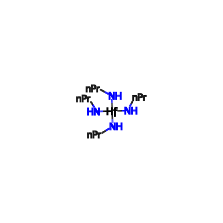 CCC[NH][Hf]([NH]CCC)([NH]CCC)[NH]CCC